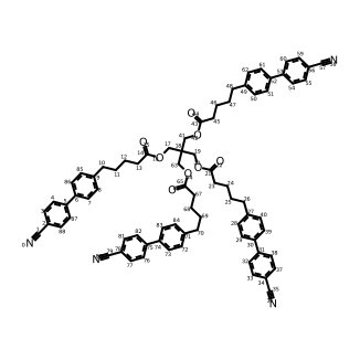 N#Cc1ccc(-c2ccc(CCCCC(=O)OCC(COC(=O)CCCCc3ccc(-c4ccc(C#N)cc4)cc3)(COC(=O)CCCCc3ccc(-c4ccc(C#N)cc4)cc3)COC(=O)CCCCc3ccc(-c4ccc(C#N)cc4)cc3)cc2)cc1